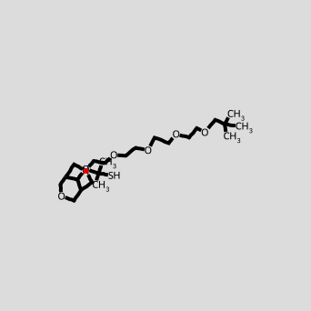 CC(C)(C)COCCOCCOCCOCCN1CC2COCC(C1)C2OC(C)(C)S